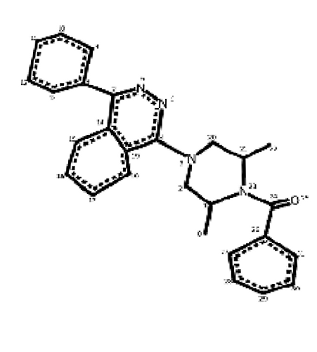 CC1CN(c2nnc(-c3ccccc3)c3ccccc23)CC(C)N1C(=O)c1ccccc1